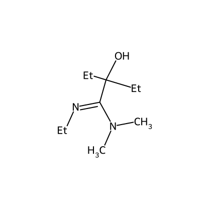 CCN=C(N(C)C)C(O)(CC)CC